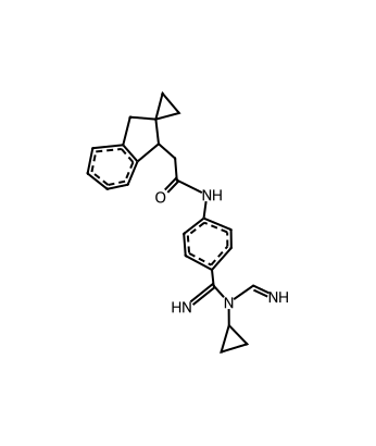 N=CN(C(=N)c1ccc(NC(=O)CC2c3ccccc3CC23CC3)cc1)C1CC1